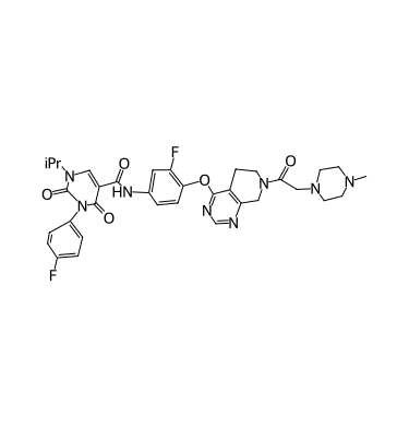 CC(C)n1cc(C(=O)Nc2ccc(Oc3ncnc4c3CCN(C(=O)CN3CCN(C)CC3)C4)c(F)c2)c(=O)n(-c2ccc(F)cc2)c1=O